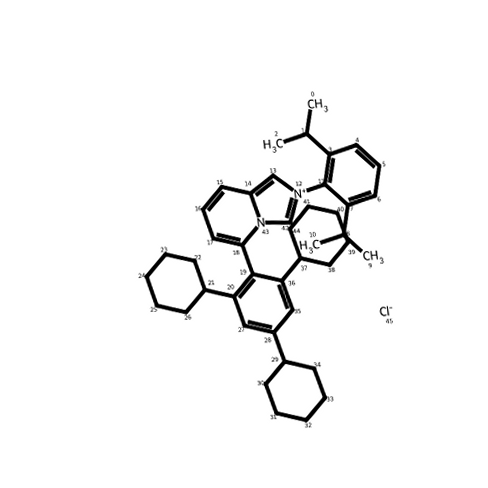 CC(C)c1cccc(C(C)C)c1-[n+]1cc2cccc(-c3c(C4CCCCC4)cc(C4CCCCC4)cc3C3CCCCC3)n2c1.[Cl-]